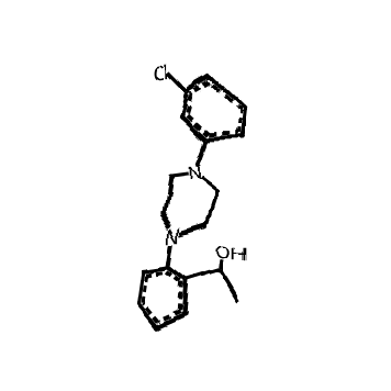 CC(O)c1ccccc1N1CCN(c2cccc(Cl)c2)CC1